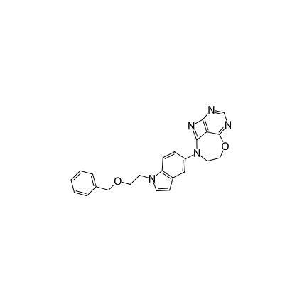 c1ccc(COCCn2ccc3cc(N4CCOc5ncnc6c5C4=N6)ccc32)cc1